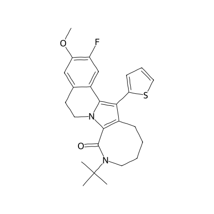 COc1cc2c(cc1F)-c1c(-c3cccs3)c3c(n1CC2)C(=O)N(C(C)(C)C)CCCC3